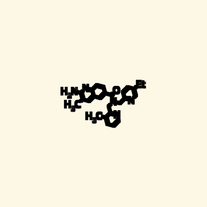 CCc1ccc(CN(Cc2ncccc2C)C(=O)c2ccc3nc(N)c(C)cc3c2)nc1